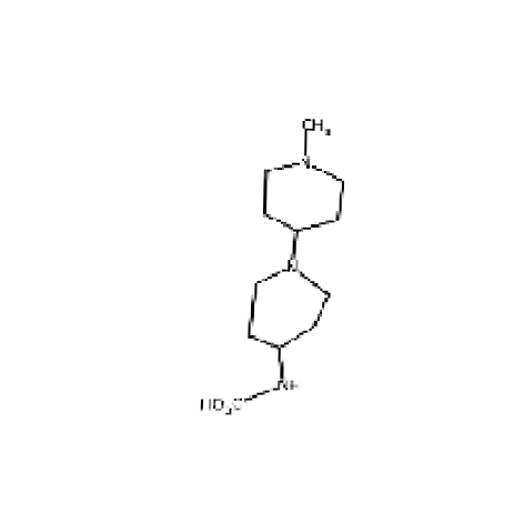 CN1CCC(N2CCC(NC(=O)O)CC2)CC1